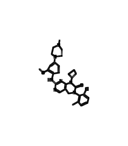 COc1cc(N2CCN(C)CC2)ccc1Nc1ncc2c(n1)N(C1CCC1)C(=O)N(c1c(C)cccc1Cl)C2